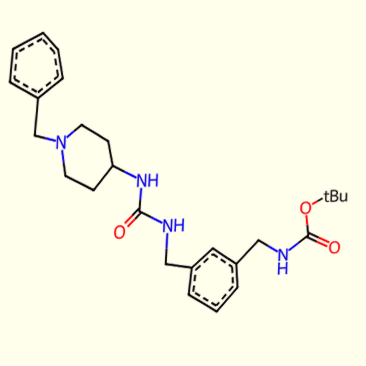 CC(C)(C)OC(=O)NCc1cccc(CNC(=O)NC2CCN(Cc3ccccc3)CC2)c1